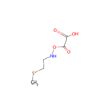 CSCCNOC(=O)C(=O)O